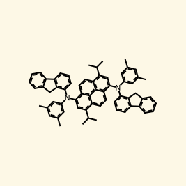 Cc1cc(C)cc(N(c2cccc3c2Cc2ccccc2-3)c2cc(C(C)C)c3ccc4c(N(c5cc(C)cc(C)c5)c5cccc6c5Cc5ccccc5-6)cc(C(C)C)c5ccc2c3c54)c1